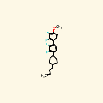 C=CCCC1CCC(c2ccc(-c3ccc(OC)c(F)c3F)c(F)c2F)CC1